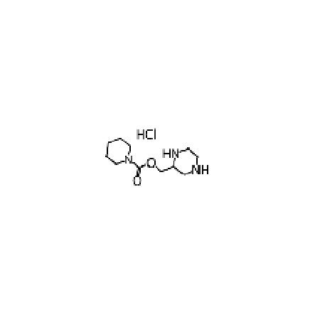 Cl.O=C(OCC1CNCCN1)N1CCCCC1